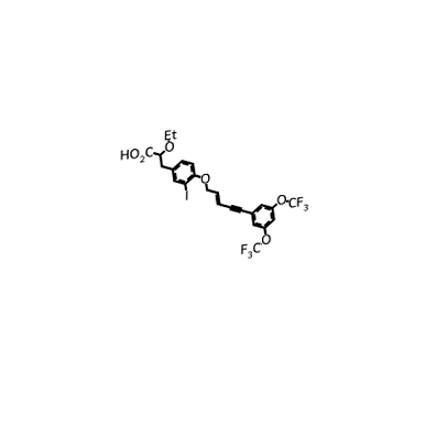 CCOC(Cc1ccc(OCC=CC#Cc2cc(OC(F)(F)F)cc(OC(F)(F)F)c2)c(I)c1)C(=O)O